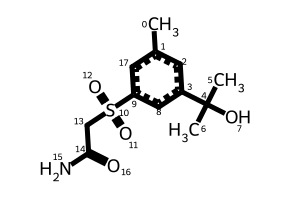 Cc1cc(C(C)(C)O)cc(S(=O)(=O)CC(N)=O)c1